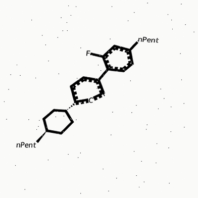 CCCCCc1ccc(-c2ccc([C@H]3CC[C@H](CCCCC)CC3)cc2)c(F)c1